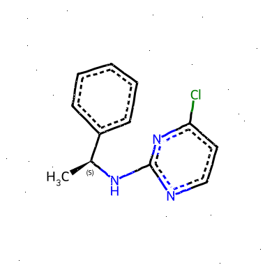 C[C@H](Nc1nccc(Cl)n1)c1ccccc1